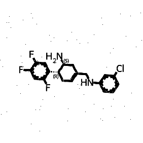 N[C@H]1CC(CNc2cccc(Cl)c2)=CC[C@@H]1c1cc(F)c(F)cc1F